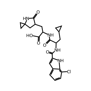 O=C(NC(CC1CC1)C(=O)NC(CC1CC2(CC2)NC1=O)C(=O)O)c1cc2cccc(Cl)c2[nH]1